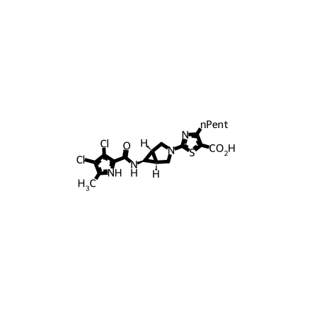 CCCCCc1nc(N2C[C@@H]3[C@H](C2)[C@@H]3NC(=O)c2[nH]c(C)c(Cl)c2Cl)sc1C(=O)O